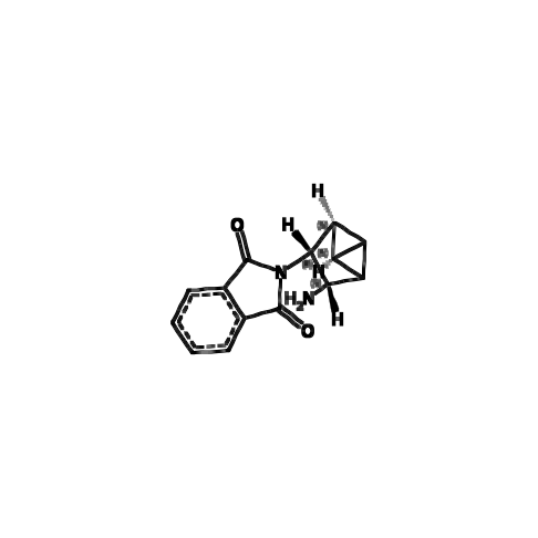 N[C@H]1C2C3[C@@H]2[C@H]3[C@H]1N1C(=O)c2ccccc2C1=O